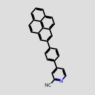 N#Cc1cc(-c2ccc(-c3cc4ccc5cccc6ccc(c3)c4c56)cc2)ccn1